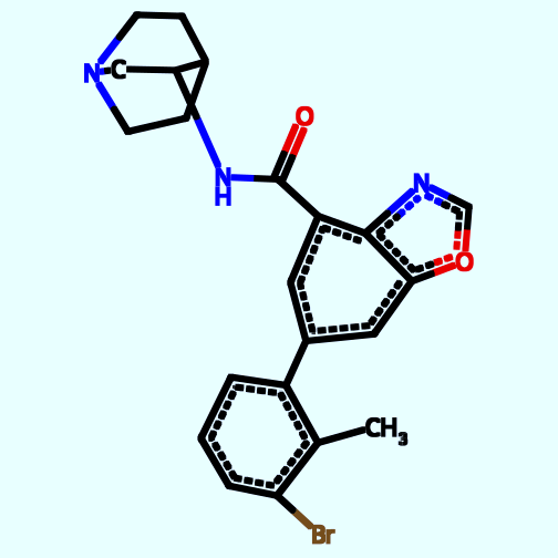 Cc1c(Br)cccc1-c1cc(C(=O)NC2CN3CCC2CC3)c2ncoc2c1